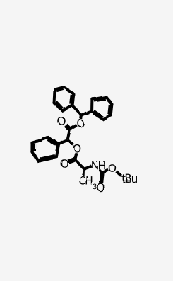 C[C@H](NC(=O)OC(C)(C)C)C(=O)OC(C(=O)OC(c1ccccc1)c1ccccc1)c1ccccc1